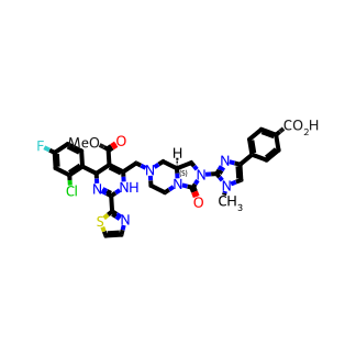 COC(=O)C1=C(CN2CCN3C(=O)N(c4nc(-c5ccc(C(=O)O)cc5)cn4C)C[C@@H]3C2)NC(c2nccs2)=NC1c1ccc(F)cc1Cl